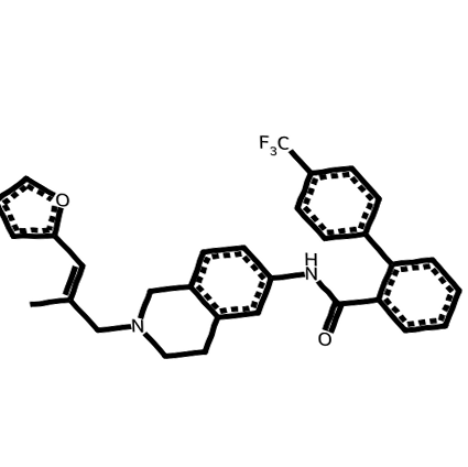 CC(=Cc1ccco1)CN1CCc2cc(NC(=O)c3ccccc3-c3ccc(C(F)(F)F)cc3)ccc2C1